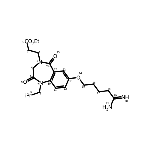 CCOC(=O)CCN1CC(=O)N(CC(C)C)c2ccc(OCCCCC(=N)N)cc2C1=O